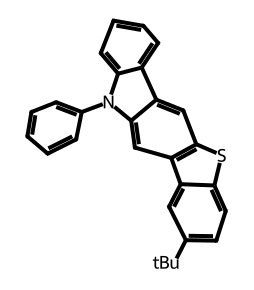 CC(C)(C)c1ccc2sc3cc4c5ccccc5n(-c5ccccc5)c4cc3c2c1